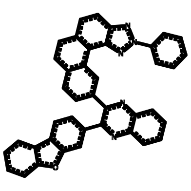 c1ccc(-n2nc3ccc4ccc5ccc(-c6nc7ccccc7nc6-c6ccc7c(c6)oc6ccccc67)cc5c4c3n2)cc1